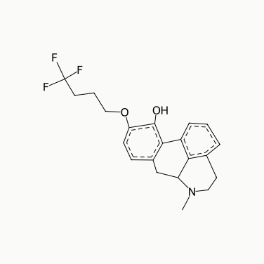 CN1CCc2cccc3c2C1Cc1ccc(OCCCC(F)(F)F)c(O)c1-3